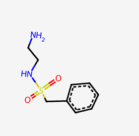 NCCNS(=O)(=O)Cc1ccccc1